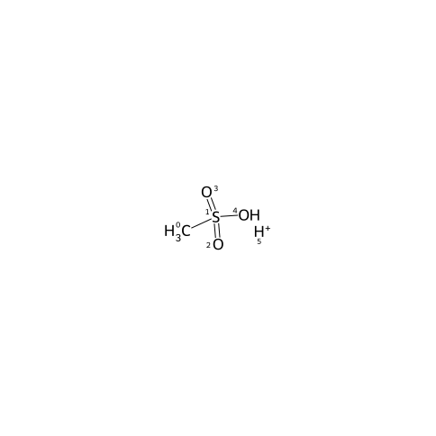 CS(=O)(=O)O.[H+]